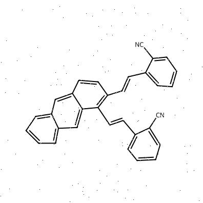 N#Cc1ccccc1/C=C/c1ccc2cc3ccccc3cc2c1/C=C/c1ccccc1C#N